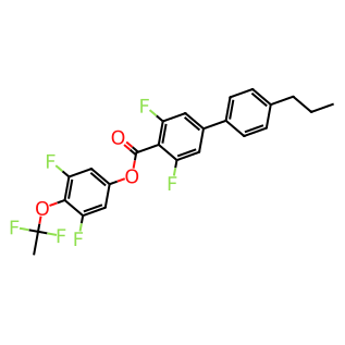 CCCc1ccc(-c2cc(F)c(C(=O)Oc3cc(F)c(OC(C)(F)F)c(F)c3)c(F)c2)cc1